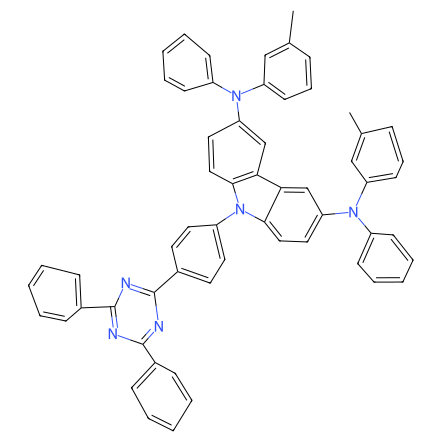 Cc1cccc(N(c2ccccc2)c2ccc3c(c2)c2cc(N(c4ccccc4)c4cccc(C)c4)ccc2n3-c2ccc(-c3nc(-c4ccccc4)nc(-c4ccccc4)n3)cc2)c1